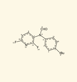 CC(C)(C)c1ccc(N(C=O)c2ccc(F)nc2F)cc1